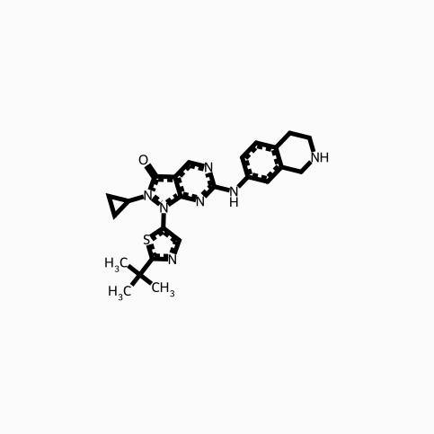 CC(C)(C)c1ncc(-n2c3nc(Nc4ccc5c(c4)CNCC5)ncc3c(=O)n2C2CC2)s1